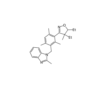 CCC1ON=C(c2c(C)cc(C)c(Cn3c(C)nc4ccccc43)c2C)C1(C)CC